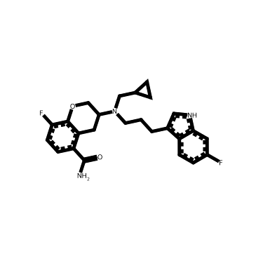 NC(=O)c1ccc(F)c2c1CC(N(CCCc1c[nH]c3cc(F)ccc13)CC1CC1)CO2